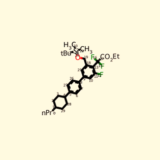 CCCC1CCC(c2ccc(-c3cc(F)c(C(F)(F)C(=O)OCC)c(CO[Si](C)(C)C(C)(C)C)c3)cc2)CC1